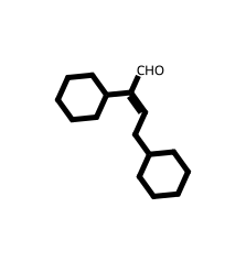 O=CC(=CCC1CCCCC1)C1CCCCC1